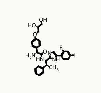 C[C@@H](c1ccccc1)[C@H](NC(=O)[C@H](N)c1ccc(OC[C@H](O)CO)cc1)c1ncc(-c2ccc(I)cc2F)[nH]1